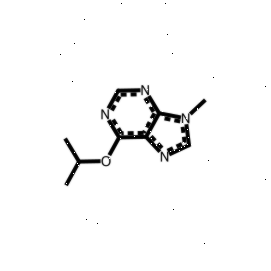 CC(C)Oc1ncnc2c1ncn2C